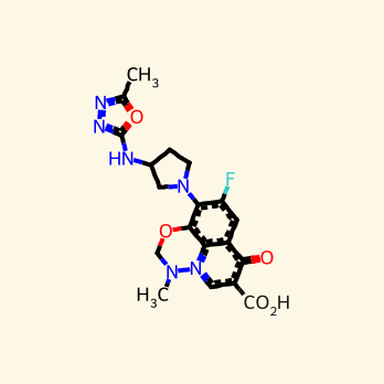 Cc1nnc(NC2CCN(c3c(F)cc4c(=O)c(C(=O)O)cn5c4c3OCN5C)C2)o1